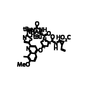 C=CC1C[C@]1(NC(=O)[C@@H]1C[C@@H](Oc2cc(-c3cnc(NC(C)=O)s3)nc3c(C)c(OC)ccc23)CN1C(=O)[C@@H](NC(=O)NC(C)(C)C)C(C)(C)C)C(=O)O